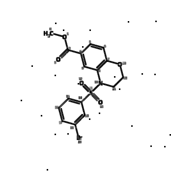 COC(=O)c1ccc2c(c1)N(S(=O)(=O)c1cccc(Br)c1)CCO2